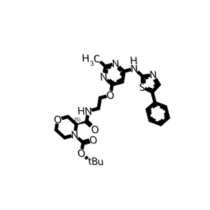 Cc1nc(Nc2ncc(-c3ccccc3)s2)cc(OCCNC(=O)[C@@H]2COCCN2C(=O)OC(C)(C)C)n1